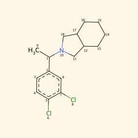 CC(c1ccc(Cl)c(Cl)c1)N1CC2CCCCC2C1